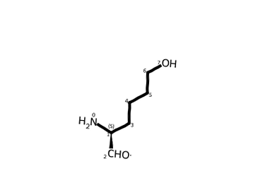 N[C@H]([C]=O)CCCCO